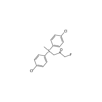 CS(CC(=O)CF)(c1ccc(Cl)cc1)c1ccc(Cl)cc1